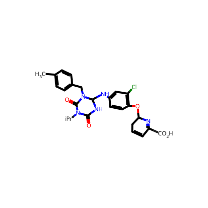 Cc1ccc(CN2C(=O)N(C(C)C)C(=O)NC2Nc2ccc(OC3CC=CC(C(=O)O)=N3)c(Cl)c2)cc1